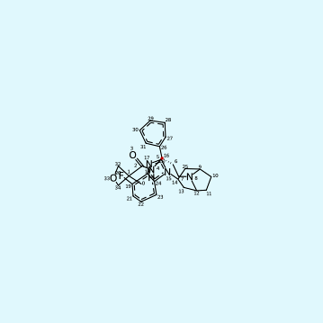 CC1(C(=O)N[C@@H](CCN2C3CCC2CC(n2cnc4c(F)cccc42)C3)c2ccccc2)COC1